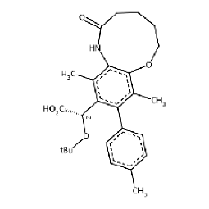 Cc1ccc(-c2c(C)c3c(c(C)c2[C@H](OC(C)(C)C)C(=O)O)NC(=O)CCCCO3)cc1